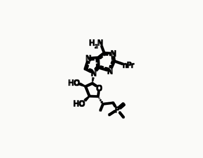 C=P(C)(C)CC(C)[C@H]1O[C@@H](n2cnc3c(N)nc(CCC)nc32)[C@H](O)[C@@H]1O